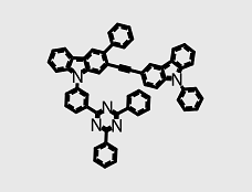 C(#Cc1cc2c(cc1-c1ccccc1)c1ccccc1n2-c1cccc(-c2nc(-c3ccccc3)nc(-c3ccccc3)n2)c1)c1ccc2c(c1)c1ccccc1n2-c1ccccc1